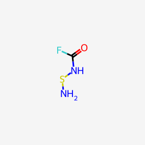 NSNC(=O)F